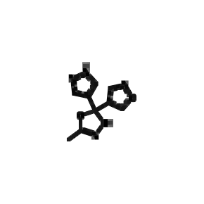 CC1=NNC(c2cn[nH]c2)(c2cnoc2)O1